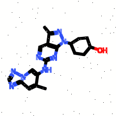 Cc1cc2ncnn2cc1Nc1ncc2c(C)nn(C3CCC(O)CC3)c2n1